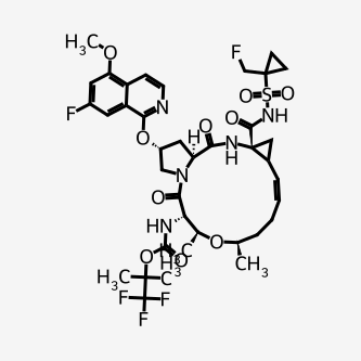 COc1cc(F)cc2c(O[C@@H]3C[C@H]4C(=O)N[C@]5(C(=O)NS(=O)(=O)C6(CF)CC6)CC5/C=C\CC[C@@H](C)O[C@@H](C)[C@H](NC(=O)OC(C)(C)C(F)(F)F)C(=O)N4C3)nccc12